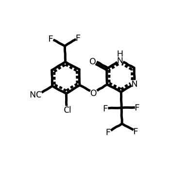 N#Cc1cc(C(F)F)cc(Oc2c(C(F)(F)C(F)F)nc[nH]c2=O)c1Cl